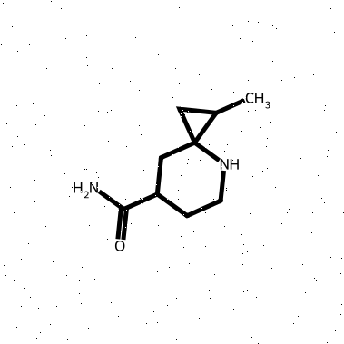 CC1CC12CC(C(N)=O)CCN2